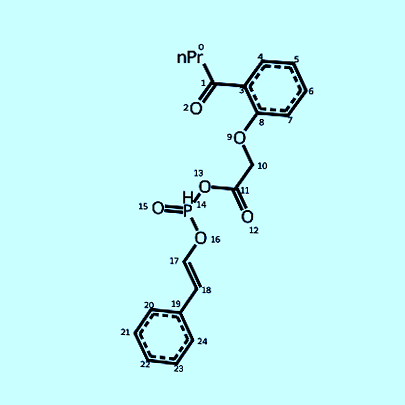 CCCC(=O)c1ccccc1OCC(=O)O[PH](=O)OC=Cc1ccccc1